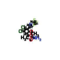 COc1c(C(C)OC(N)=O)cc(Cl)c(Cl)c1C1CN(CC(F)(F)F)C1